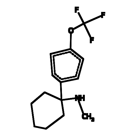 CNC1(c2ccc(OC(F)(F)F)cc2)CCCCC1